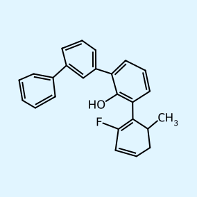 CC1CC=CC(F)=C1c1cccc(-c2cccc(-c3ccccc3)c2)c1O